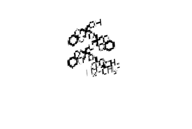 CC(C)(C)OC(=O)COCC1(COCC2(COCC3(CO)COC4(CCCCC4)OC3)COC3(CCCCC3)OC2)COC2(CCCCC2)OC1